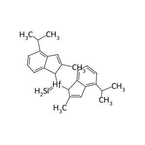 CC1=Cc2c(C(C)C)cccc2[CH]1[Hf](=[SiH2])[CH]1C(C)=Cc2c(C(C)C)cccc21